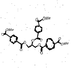 COC(=O)c1ccc(C(=O)OCC(COC(=O)c2ccc(C(=O)OC)cc2)OC(=O)c2ccc(C(=O)OC)cc2)cc1